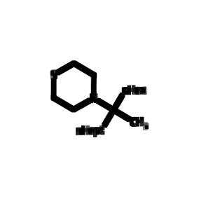 CCCCCCCC(C)(CCCCCC)N1CCSCC1